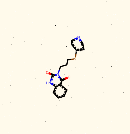 O=c1[nH]c2ccccc2c(=O)n1CCCSc1ccncc1